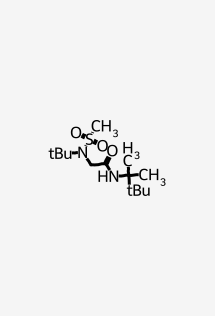 CC(C)(C)N(CC(=O)NC(C)(C)C(C)(C)C)S(C)(=O)=O